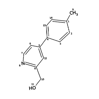 Cc1ccc(-c2ccnc(CO)c2)cc1